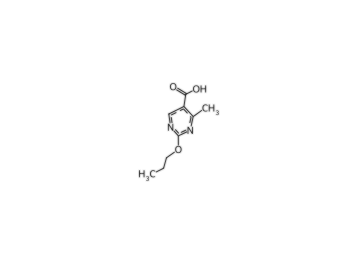 CCCOc1ncc(C(=O)O)c(C)n1